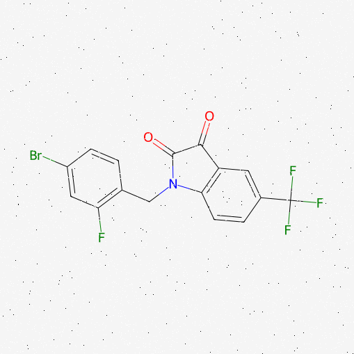 O=C1C(=O)N(Cc2ccc(Br)cc2F)c2ccc(C(F)(F)F)cc21